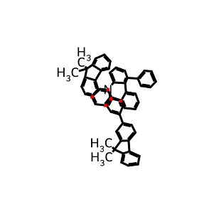 CC1(C)c2ccccc2-c2ccc(-c3ccc(N(c4cccc(-c5ccccc5)c4-c4ccccc4-c4ccccc4)c4cccc5c4-c4ccccc4C5(C)C)cc3)cc21